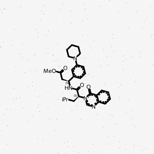 COC(=O)C[C@H](NC(=O)[C@H](CC(C)C)n1cnc2ccccc2c1=O)c1cccc(N2CCCCC2)c1